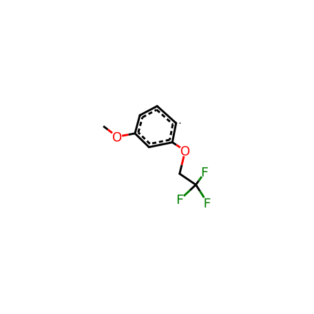 COc1cc[c]c(OCC(F)(F)F)c1